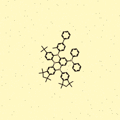 Cc1cc(-c2ccccc2)ccc1N1c2cc(C(C)(C)C)ccc2B2c3cc4c(cc3N(c3ccc5c(c3)C(C)(C)CC5(C)C)c3cc(N(c5ccccc5)c5ccccc5)cc1c32)C(C)(C)CC4(C)C